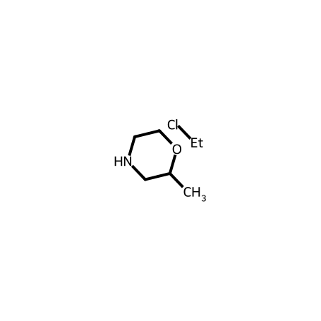 CC1CNCCO1.CCCl